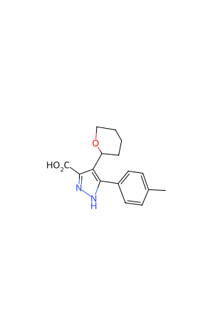 Cc1ccc(-c2[nH]nc(C(=O)O)c2C2CCCCO2)cc1